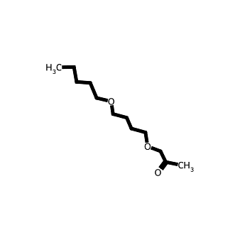 CCCCCOCCCCOCC(C)=O